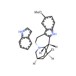 CC[C@H]1C[C@@H]2C[C@H]3c4[nH]c5ccc(OC)cc5c4CC[N@@](C2)[C@@H]13.c1ccc2[nH]ccc2c1